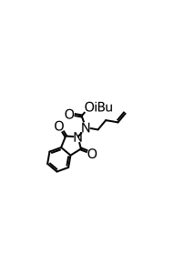 C=CCCN(C(=O)OCC(C)C)N1C(=O)c2ccccc2C1=O